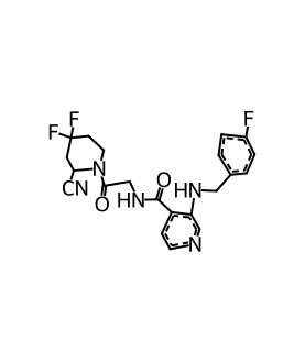 N#CC1CC(F)(F)CCN1C(=O)CNC(=O)c1ccncc1NCc1ccc(F)cc1